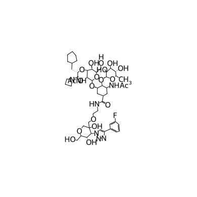 CC(=O)NC1CC(C(=O)NCCOCC2(O)COC(CO)[C@@H](O)C2n2cc(-c3cccc(F)c3)nn2)C[C@@H](O[C@@H]2OC(CO)[C@H](O)C(O[C@@H](CC3CCCCC3)C(=O)N3CCC3)C2NC(C)=O)C1O[C@@H]1OC(C)[C@@H](O)C(O)C1O